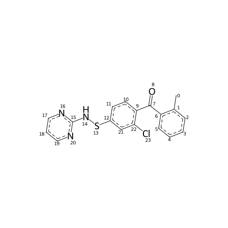 Cc1ccccc1C(=O)c1ccc(SNc2ncccn2)cc1Cl